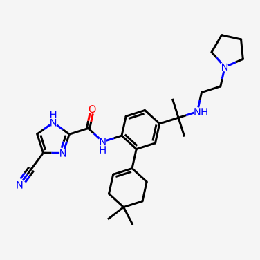 CC1(C)CC=C(c2cc(C(C)(C)NCCN3CCCC3)ccc2NC(=O)c2nc(C#N)c[nH]2)CC1